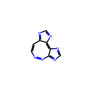 c1cc2ncnc-2c2ncnc-2nn1